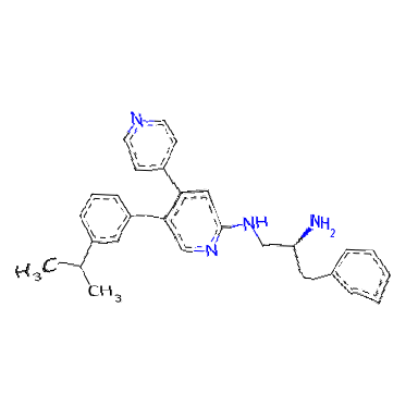 CC(C)c1cccc(-c2cnc(NC[C@@H](N)Cc3ccccc3)cc2-c2ccncc2)c1